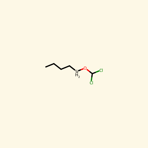 CCCC[SiH2]OC(Cl)Cl